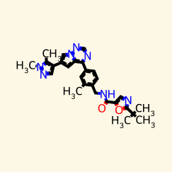 Cc1cc(-c2ncnn3cc(-c4cnn(C)c4C)cc23)ccc1CNC(=O)c1cnc(C(C)(C)C)o1